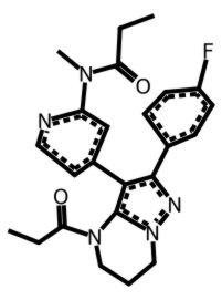 CCC(=O)N(C)c1cc(-c2c(-c3ccc(F)cc3)nn3c2N(C(=O)CC)CCC3)ccn1